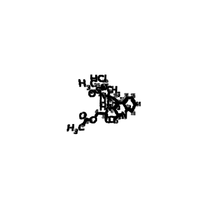 CC(=O)OCC(=O)Nc1c(Cl)nc2ccccc2c1CC(C)(C)NS(C)(=O)=O.Cl